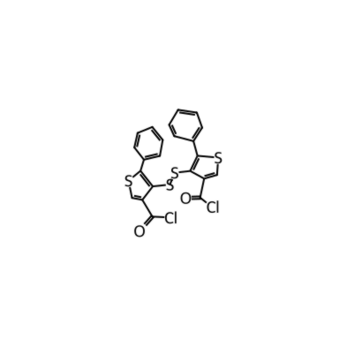 O=C(Cl)c1csc(-c2ccccc2)c1SSc1c(C(=O)Cl)csc1-c1ccccc1